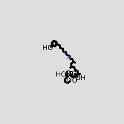 CC(C/C=C/C/C=C/CCCc1cccc(O)c1)CC(C)CCCC(C)C(O)(O)C(=O)C(=O)N1CCCCC1C(=O)O